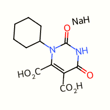 O=C(O)c1c(C(=O)O)n(C2CCCCC2)c(=O)[nH]c1=O.[NaH]